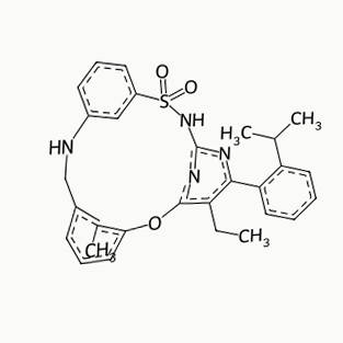 CCc1c2nc(nc1-c1ccccc1C(C)C)NS(=O)(=O)c1cccc(c1)NCc1cccc(c1C)O2